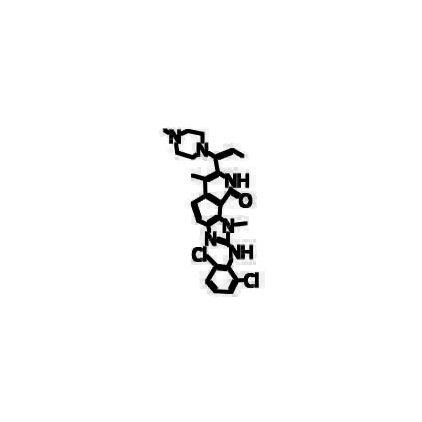 C/C=C(\c1[nH]c(=O)c2c(ccc3nc(Nc4c(Cl)cccc4Cl)n(C)c32)c1C)N1CCN(C)CC1